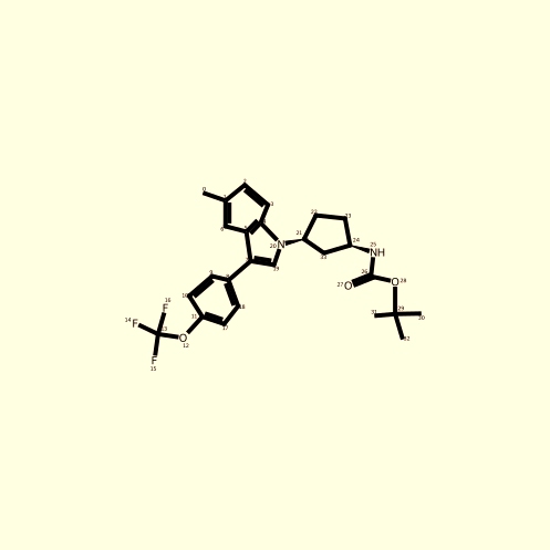 Cc1ccc2c(c1)c(-c1ccc(OC(F)(F)F)cc1)cn2[C@H]1CC[C@@H](NC(=O)OC(C)(C)C)C1